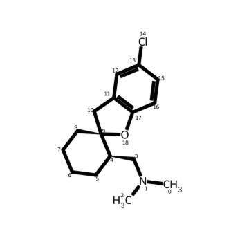 CN(C)C[C@H]1CCCC[C@]12Cc1cc(Cl)ccc1O2